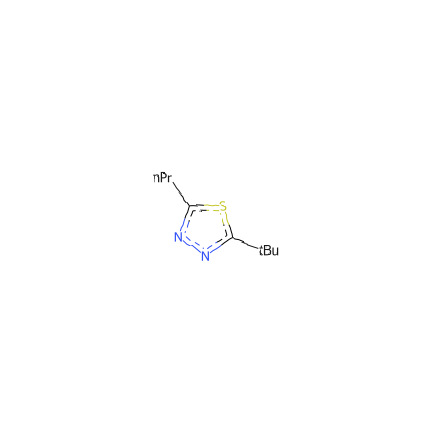 CCCc1nnc(C(C)(C)C)s1